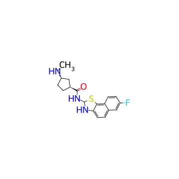 CN[C@@H]1CC[C@H](C(=O)NC2Nc3ccc4cc(F)ccc4c3S2)C1